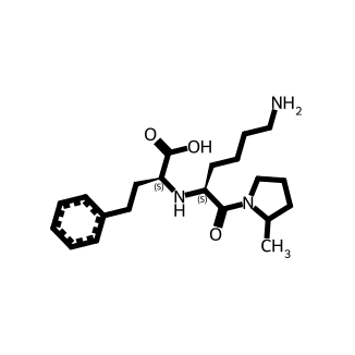 CC1CCCN1C(=O)[C@H](CCCCN)N[C@@H](CCc1ccccc1)C(=O)O